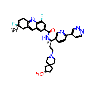 CC(C)[C@]1(F)CCc2nc3c(F)cc(C(=O)N[C@H](CCN4CCC5(CC[C@H](O)C5)CC4)c4ccc(-c5ccnnc5)nc4)cc3cc2C1